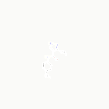 Cc1n[nH]cc1C(=O)Nc1ccc(C(F)(F)F)cc1